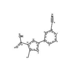 Cc1oc(-c2cccc(C#N)c2)cc1C(=O)O